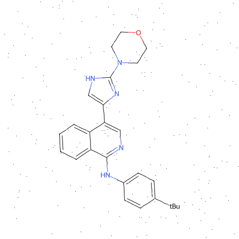 CC(C)(C)c1ccc(Nc2ncc(-c3c[nH]c(N4CCOCC4)n3)c3ccccc23)cc1